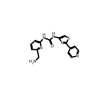 NCc1cccc(NC(=O)Nc2csc(-c3ccncc3)n2)n1